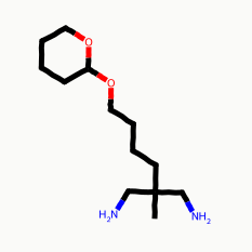 CC(CN)(CN)CCCCOC1CCCCO1